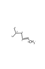 C=CCC(C)C.[CH3]